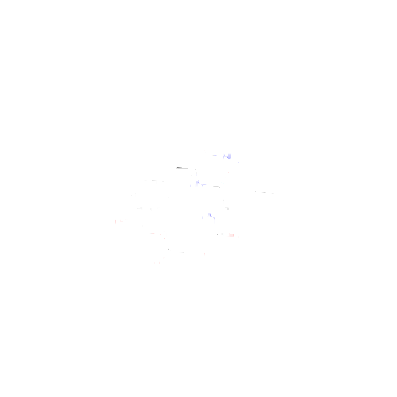 CCOC(=O)C1OC1C(=O)N[C@@H](CC(C)C)C(=O)N[C@@H](Cc1ccc(O)cc1)C(N)=O